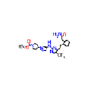 CC(C)(C)OC(=O)N1CCC(n2cc(Nc3ncc(C(F)(F)F)c(CCc4ccccc4CC(N)=O)n3)cn2)CC1